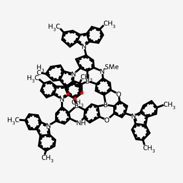 CSN1c2cc3c(cc2B2c4c1cc(-n1c5ccc(C)cc5c5cc(C)ccc51)cc4-n1c4ccc(C)cc4c4cc(C)cc2c41)B1c2cc4c(cc2Oc2cc(-n5c6ccc(C)cc6c6cc(C)ccc65)cc(c21)O3)Nc1cc(-n2c3ccc(C)cc3c3cc(C)ccc32)cc2c1B4c1cc(C)cc3c4cc(C)ccc4n-2c13